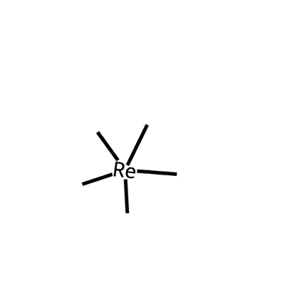 [CH3][Re]([CH3])([CH3])([CH3])[CH3]